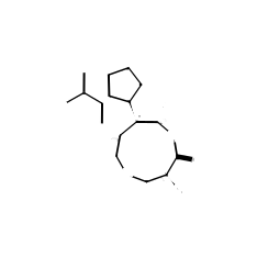 CC(C)CC[C@H]1COC[C@H](N)C(=O)O[C@@H](C)[C@@H]1C1CCCC1